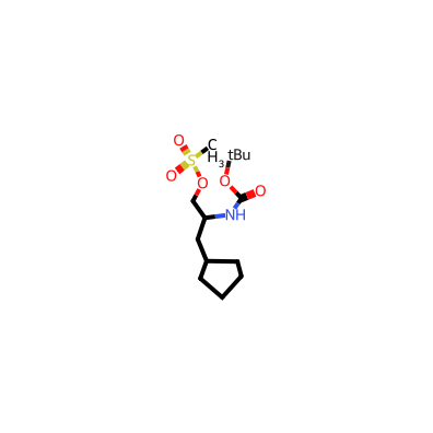 CC(C)(C)OC(=O)NC(COS(C)(=O)=O)CC1CCCC1